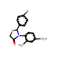 Cc1cc(C(=O)O)ccc1N1C(=O)CSC1c1ccc(F)cc1